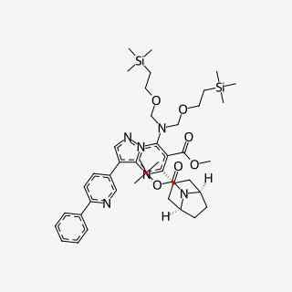 COC(=O)c1c([C@@H]2C[C@H]3CC[C@@H](C2)N3C(=O)OC(C)(C)C)nc2c(-c3ccc(-c4ccccc4)nc3)cnn2c1N(COCC[Si](C)(C)C)COCC[Si](C)(C)C